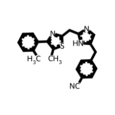 Cc1ccccc1-c1nc(Cc2ncc(Cc3ccc(C#N)cc3)[nH]2)sc1C